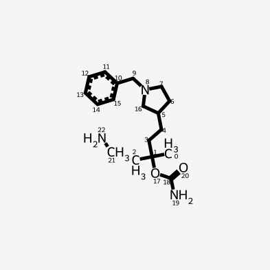 CC(C)(CCC1CCN(Cc2ccccc2)C1)OC(N)=O.CN